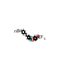 CCCCC1CCC(CCc2ccc(C(F)(F)Oc3ccc(OC(F)(F)F)cc3)cc2)CC1